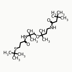 CC(C)(C)CC(=O)NCCC(C)(C)OCC(C)(C)NC(=O)CCSC(C)(C)C